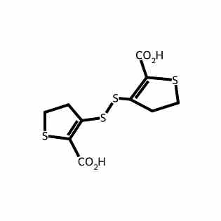 O=C(O)C1=C(SSC2=C(C(=O)O)SCC2)CCS1